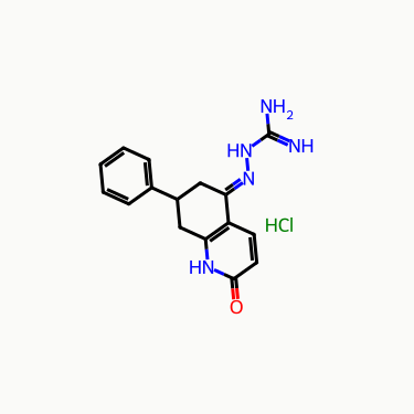 Cl.N=C(N)NN=C1CC(c2ccccc2)Cc2[nH]c(=O)ccc21